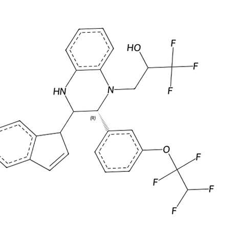 OC(CN1c2ccccc2NC(C2C=Cc3ccccc32)[C@H]1c1cccc(OC(F)(F)C(F)F)c1)C(F)(F)F